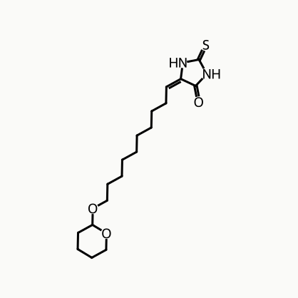 O=C1NC(=S)NC1=CCCCCCCCCCOC1CCCCO1